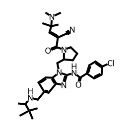 CC(NCc1ccc2c(c1)nc(NC(=O)c1ccc(Cl)cc1)n2CC1CCCN1C(=O)C(C#N)=CC(C)(C)N(C)C)C(C)(C)C